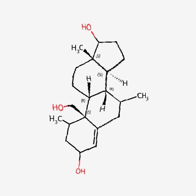 CC1CC2=CC(O)CC(C)[C@]2(CO)[C@@H]2CC[C@]3(C)C(O)CC[C@H]3[C@H]12